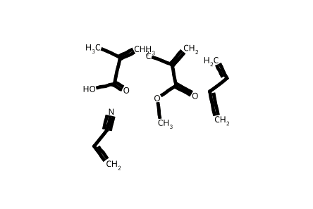 C=C(C)C(=O)O.C=C(C)C(=O)OC.C=CC#N.C=CC=C